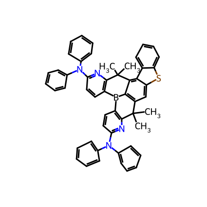 CC1(C)c2cc3sc4ccccc4c3c3c2B(c2ccc(N(c4ccccc4)c4ccccc4)nc21)c1ccc(N(c2ccccc2)c2ccccc2)nc1C3(C)C